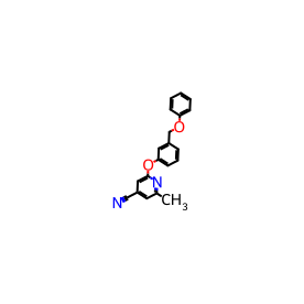 Cc1cc(C#N)cc(Oc2cccc(COc3ccccc3)c2)n1